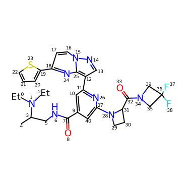 CCN(CC)C(C)CNC(=O)c1cc(-c2cnn3ccc(-c4cccs4)nc23)nc(N2CCC2C(=O)N2CC(F)(F)C2)c1